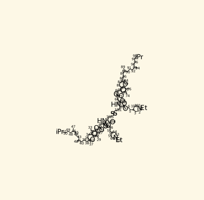 CCN1CCC(CCOC(=O)C(CCSSCCC(NC(=O)CC(=O)Oc2c(C)c(C)c3c(c2C)CCC(C)(CCCC(C)CCCC(C)CCCC(C)C)O3)C(=O)OCCC2CCN(CC)CC2)NC(=O)CC(=O)Oc2c(C)c(C)c3c(c2C)CCC(C)(CCCC(C)CCCC(C)CCCC(C)C)O3)CC1